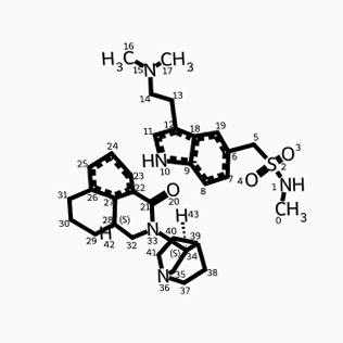 CNS(=O)(=O)Cc1ccc2[nH]cc(CCN(C)C)c2c1.O=C1c2cccc3c2[C@H](CCC3)CN1[C@@H]1CN2CCC1CC2